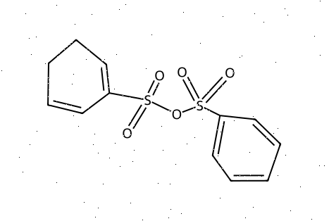 O=S(=O)(OS(=O)(=O)c1ccccc1)C1=CCCC=C1